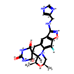 C[C@@H]1CN2c3c(cc4c(NCc5c[nH]cn5)noc4c3F)CC3(C(=O)NC(=O)NC3=O)[C@H]2[C@H](C)O1